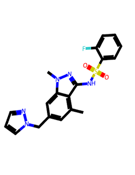 Cc1cc(Cn2cccn2)cc2c1c(NS(=O)(=O)c1ccccc1F)nn2C